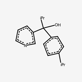 CC(C)c1ccc(C(O)(c2cccnc2)C(C)C)cc1